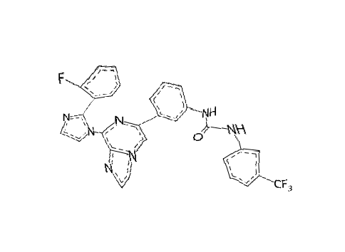 O=C(Nc1cccc(-c2cn3ccnc3c(-n3ccnc3-c3ccccc3F)n2)c1)Nc1cccc(C(F)(F)F)c1